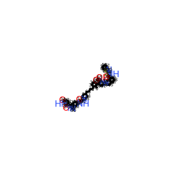 Cc1c(CCCCC2CCN(CC(=O)Nc3ccc4c(C5CCC(=O)NC5=O)nn(C)c4c3)CC2)cccc1-c1ccc(N2CCc3cccc(C(=O)Nc4nc5ccccc5s4)c3C2)nc1C(=O)O